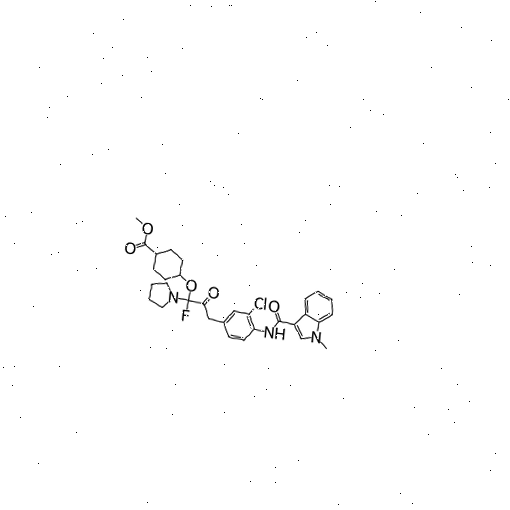 COC(=O)C1CCC(OC(F)(C(=O)Cc2ccc(NC(=O)c3cn(C)c4ccccc34)c(Cl)c2)N2CCCC2)CC1